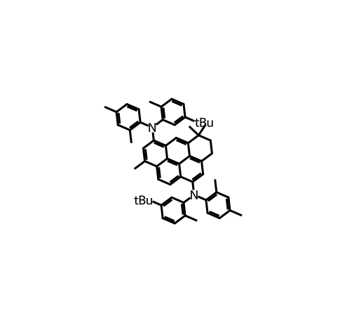 Cc1ccc(N(c2cc(C(C)(C)C)ccc2C)c2cc(C)c3ccc4c(N(c5ccc(C)cc5C)c5cc(C(C)(C)C)ccc5C)cc5c6c(cc2c3c46)C(C)(C)CC5)c(C)c1